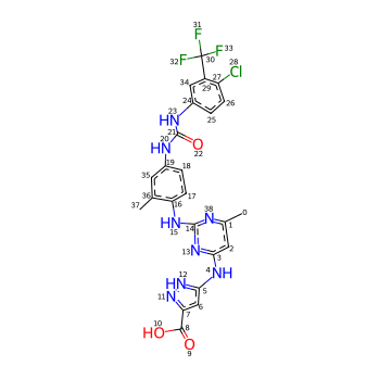 Cc1cc(Nc2cc(C(=O)O)n[nH]2)nc(Nc2ccc(NC(=O)Nc3ccc(Cl)c(C(F)(F)F)c3)cc2C)n1